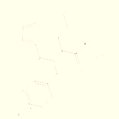 CCCC[C](C(=O)C(C)(C)C)N(Cc1ccc(Br)cc1)Cc1cccs1